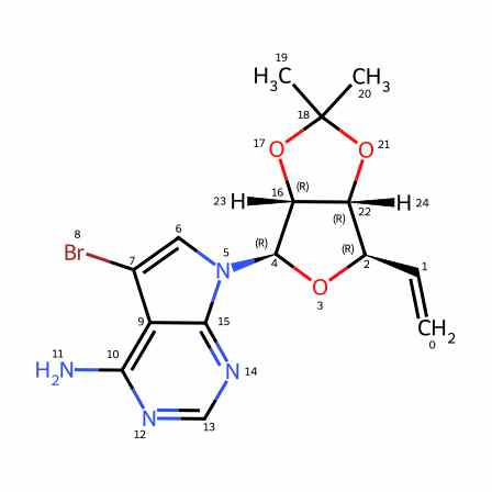 C=C[C@H]1O[C@@H](n2cc(Br)c3c(N)ncnc32)[C@@H]2OC(C)(C)O[C@@H]21